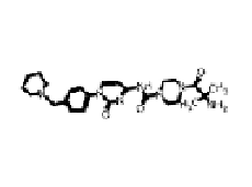 CC(C)(N)C(=O)N1CCN(C(=O)Nc2ccn(-c3ccc(CN4CCCCC4)cc3)c(=O)n2)CC1